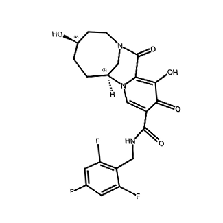 O=C(NCc1c(F)cc(F)cc1F)c1cn2c(c(O)c1=O)C(=O)N1CC[C@H](O)CC[C@H]2C1